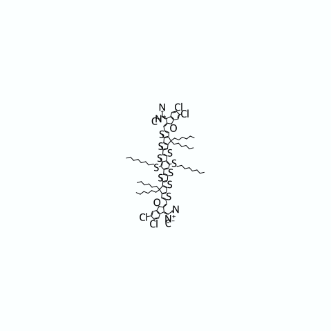 [C-]#[N+]/C(C#N)=C1\C(=C\c2cc3c(s2)-c2sc4c(sc5c4sc4c(SCCCCCCCC)c6c(sc7c8sc9c(c8sc76)C(CCCCCC)(CCCCCC)c6cc(/C=C7\C(=O)c8cc(Cl)c(Cl)cc8\C7=C(\C#N)[N+]#[C-])sc6-9)c(SCCCCCCCC)c45)c2C3(CCCCCC)CCCCCC)C(=O)c2cc(Cl)c(Cl)cc21